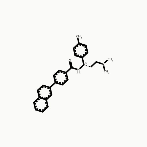 Cc1ccc([C@H](CCN(C)C)NC(=O)c2ccc(-c3ccc4ccccc4c3)cc2)cc1